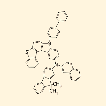 CC1(C)c2ccccc2-c2ccc(N(c3ccc4ccccc4c3)c3ccc4c(c3)c3c5c(ccc3n4-c3ccc(-c4ccccc4)cc3)sc3ccccc35)cc21